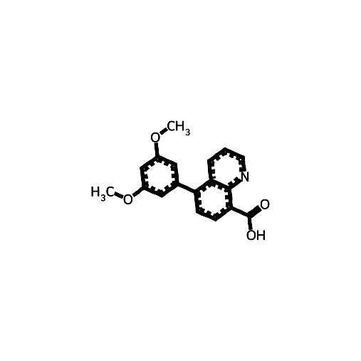 COc1cc(OC)cc(-c2ccc(C(=O)O)c3ncccc23)c1